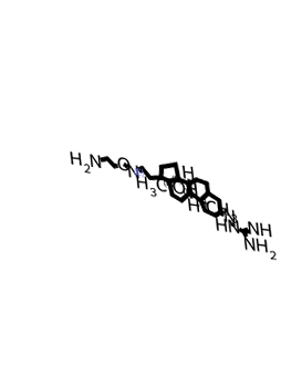 C[C@]12CCC(=NNC(=N)N)CC1CC[C@@H]1[C@H]2CC[C@]2(C)C(C/C=N/OCCN)CC[C@@]12O